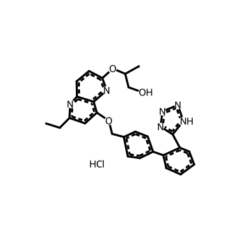 CCc1cc(OCc2ccc(-c3ccccc3-c3nnn[nH]3)cc2)c2nc(OC(C)CO)ccc2n1.Cl